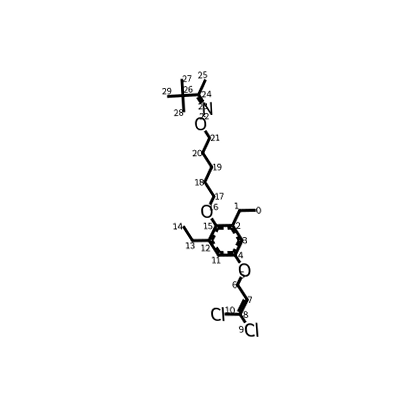 CCc1cc(OCC=C(Cl)Cl)cc(CC)c1OCCCCCON=C(C)C(C)(C)C